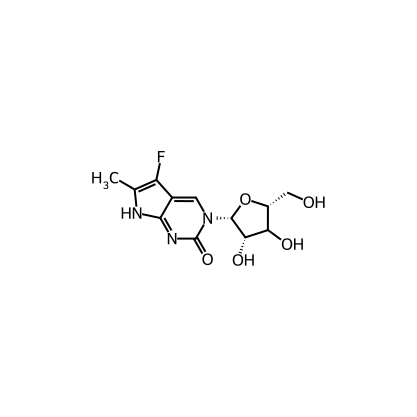 Cc1[nH]c2nc(=O)n([C@@H]3O[C@H](CO)C(O)[C@@H]3O)cc2c1F